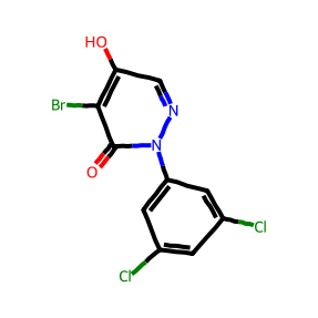 O=c1c(Br)c(O)cnn1-c1cc(Cl)cc(Cl)c1